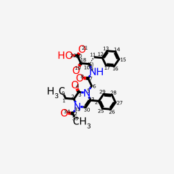 CCC1C(=O)N(CC(=O)N[C@@H](Cc2ccccc2)C(=O)C(=O)O)C(c2ccccc2)=CN1C(C)=O